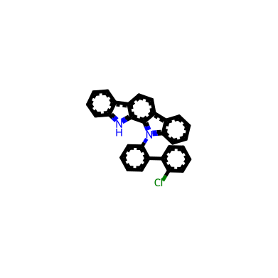 Clc1ccccc1-c1ccccc1-n1c2ccccc2c2ccc3c4ccccc4[nH]c3c21